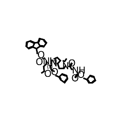 CCCC(NC(=O)OCC1c2ccccc2-c2ccccc21)[C@@H](C(=O)OCc1ccccc1)N1CCCC1CCN(C(=O)CNC(=O)OCc1ccccc1)C(C)C